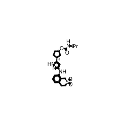 CC(C)NC(=O)O[C@@H]1CC[C@H](c2cc(Nc3cccc4c3CS(=O)(=O)CC4)n[nH]2)C1